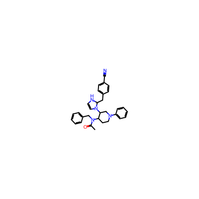 CC(=O)N(Cc1ccccc1)C1CCN(c2ccccc2)CC1N1C=CNC1Cc1ccc(C#N)cc1